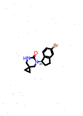 O=C1NCC2(CC2)CN1[C@@H]1CCc2cc(Br)ccc21